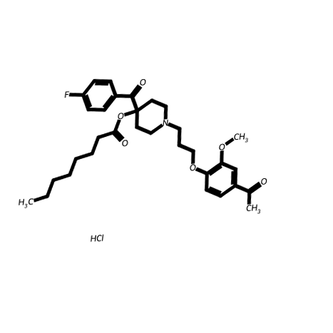 CCCCCCCC(=O)OC1(C(=O)c2ccc(F)cc2)CCN(CCCOc2ccc(C(C)=O)cc2OC)CC1.Cl